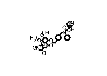 COc1ccc([C@H](Cc2c(Cl)c[n+]([O-])cc2Cl)OC(=O)Cc2ccc(CN(C(=O)O[C@H]3CN4CCC3CC4)c3ccccc3)cc2)cc1OC